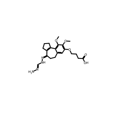 COc1c(OCCCC(=O)O)cc2c(c1OC)C1=C(CCC1)C(=NNC=NN)CC2